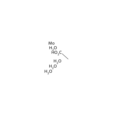 CC(=O)O.O.O.O.O.[Mo]